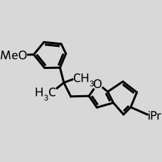 COc1cccc(C(C)(C)Cc2cc3cc(C(C)C)ccc3o2)c1